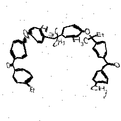 CCc1ccc(C(=O)c2ccc(Oc3ccc(C(C)(C)c4ccc(OC(C)(CC)c5ccc(C(=O)c6ccc(C)cc6)cc5)cc4)cc3)cc2)cc1